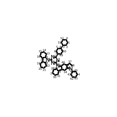 c1ccc(-c2ccc(-c3nc(-n4c5ccccc5c5ccccc54)nc(-n4c5ccccc5c5cc6c(ccn6-c6ccccc6)cc54)n3)cc2)cc1